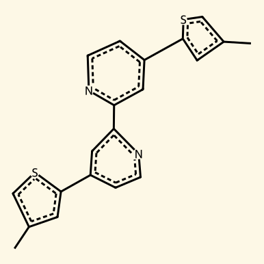 Cc1csc(-c2ccnc(-c3cc(-c4cc(C)cs4)ccn3)c2)c1